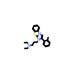 CCN(CC)CCCN1C(c2ccccc2C)=CN2c3ccccc3SC12